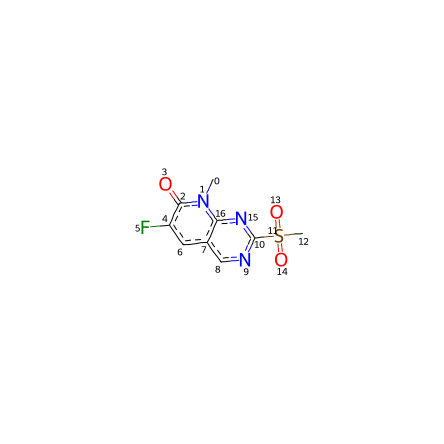 Cn1c(=O)c(F)cc2cnc(S(C)(=O)=O)nc21